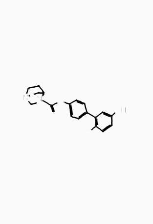 Cc1ccc(C)c(-c2ccc(OC(=O)N3CCN4CCC3CC4)cc2)c1